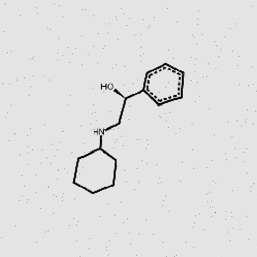 O[C@H](CNC1CCCCC1)c1ccccc1